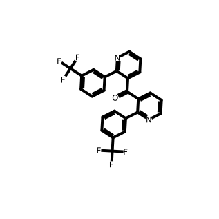 O=C(c1cccnc1-c1cccc(C(F)(F)F)c1)c1cccnc1-c1cccc(C(F)(F)F)c1